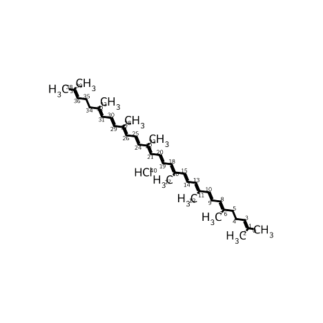 CC(C)=CCC/C(C)=C/C=C/C(C)=C/C=C/C(C)=C/C=C/C=C(C)/C=C/C=C(C)/C=C/C=C(\C)CCC=C(C)C.Cl